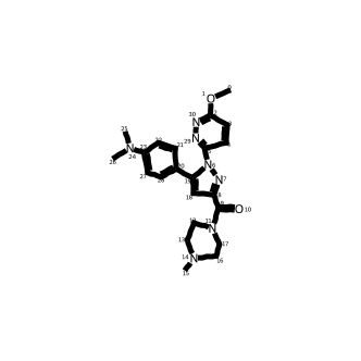 COc1ccc(-n2nc(C(=O)N3CCN(C)CC3)cc2-c2ccc(N(C)C)cc2)nn1